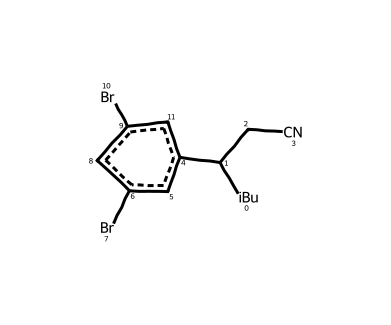 CCC(C)C(CC#N)c1cc(Br)cc(Br)c1